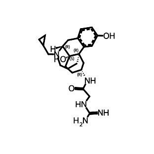 N=C(N)NCC(=O)N[C@@H]1CC[C@@]2(O)[C@H]3Cc4ccc(O)cc4[C@@]2(CCCN3CC2CC2)C1